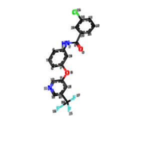 O=C(Nc1cccc(Oc2cncc(C(F)(F)F)c2)c1)c1cccc(Cl)c1